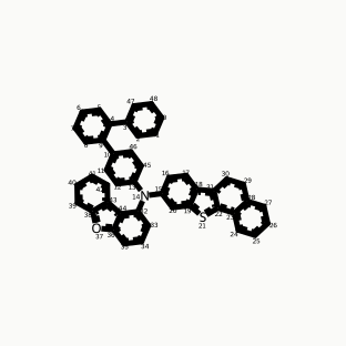 c1ccc(-c2ccccc2-c2ccc(N(c3ccc4c(c3)sc3c5ccccc5ccc43)c3cccc4oc5ccccc5c34)cc2)cc1